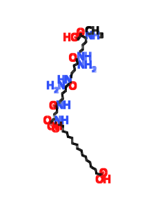 CN[C@@H](CCCCNC(=O)[C@@H](N)CCCCNC(=O)[C@@H](N)CCCCNC(=O)CC[C@H](NC(=O)CCCCCCCCCCCCCCCCC(=O)O)C(=O)O)C(=O)CO